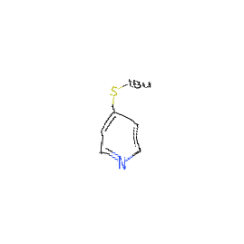 CC(C)(C)Sc1ccncc1